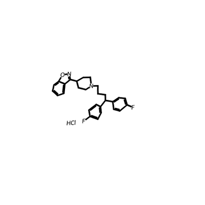 Cl.Fc1ccc(C(CCCN2CCC(c3noc4ccccc34)CC2)c2ccc(F)cc2)cc1